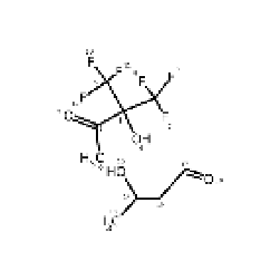 CC(=O)C(O)(C(F)(F)F)C(F)(F)F.CC(O)CC=O